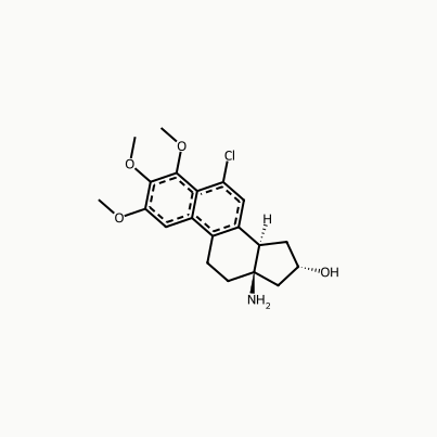 COc1cc2c3c(cc(Cl)c2c(OC)c1OC)[C@H]1C[C@H](O)C[C@]1(N)CC3